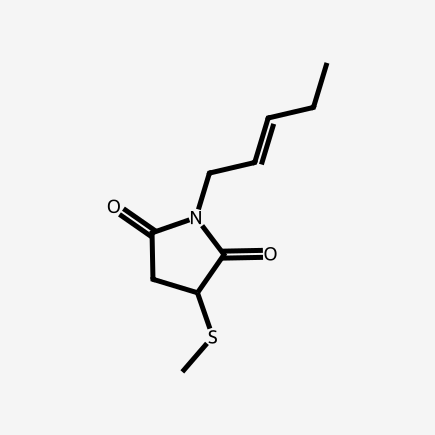 CCC=CCN1C(=O)CC(SC)C1=O